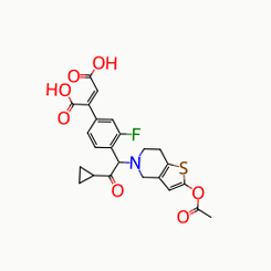 CC(=O)Oc1cc2c(s1)CCN(C(C(=O)C1CC1)c1ccc(/C(=C/C(=O)O)C(=O)O)cc1F)C2